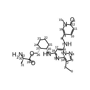 CCc1cnn2c(NCc3ccc(=O)n(C)c3)cc(N[C@H]3CCCC[C@H]3COC(=O)[C@@H](C)N)nc12